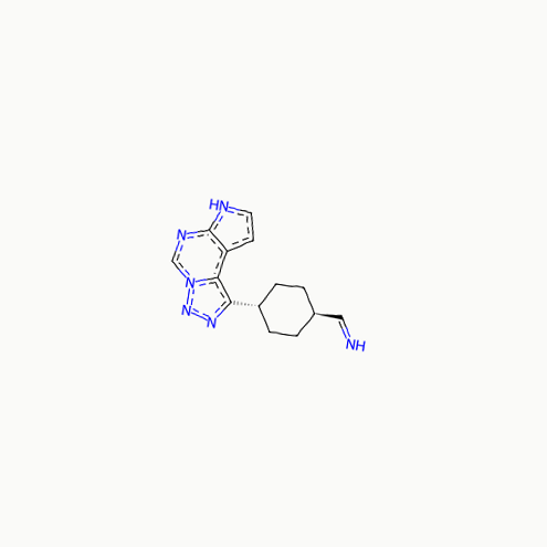 N=C[C@H]1CC[C@H](c2nnn3cnc4[nH]ccc4c23)CC1